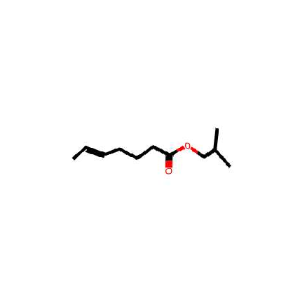 C/C=C/CCCC(=O)OCC(C)C